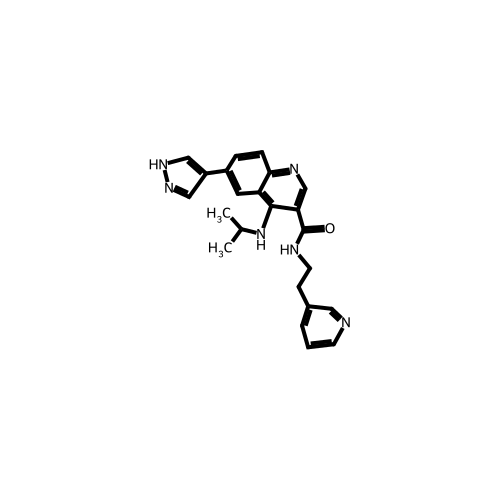 CC(C)Nc1c(C(=O)NCCc2cccnc2)cnc2ccc(-c3cn[nH]c3)cc12